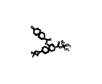 CC(C)(C)OC(=O)N1CCC2(CCC(N3CC(F)(F)C3)CC2)C(OC(=O)N2CCC3(CCC(=O)CC3)CC2)C1